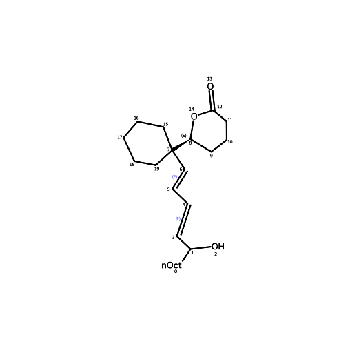 CCCCCCCCC(O)/C=C/C=C/C1([C@@H]2CCCC(=O)O2)CCCCC1